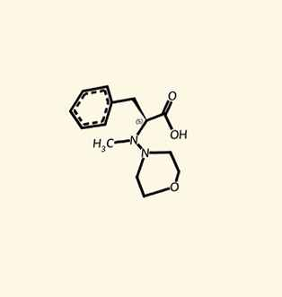 CN([C@@H](Cc1ccccc1)C(=O)O)N1CCOCC1